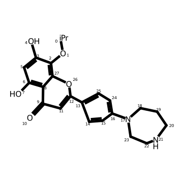 CC(C)Oc1c(O)cc(O)c2c(=O)cc(-c3ccc(N4CCCNCC4)cc3)oc12